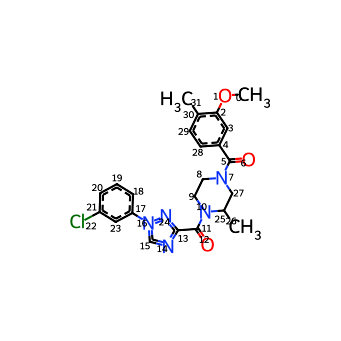 COc1cc(C(=O)N2CCN(C(=O)c3ncn(-c4cccc(Cl)c4)n3)C(C)C2)ccc1C